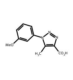 COc1cccc(-n2nnc(C(=O)O)c2C)c1